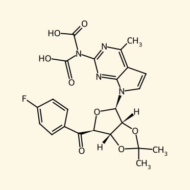 Cc1nc(N(C(=O)O)C(=O)O)nc2c1ccn2[C@@H]1O[C@H](C(=O)c2ccc(F)cc2)[C@H]2OC(C)(C)O[C@H]21